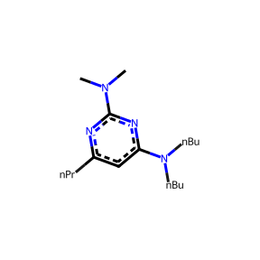 CCCCN(CCCC)c1cc(CCC)nc(N(C)C)n1